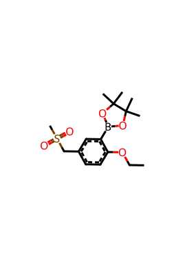 CCOc1ccc(CS(C)(=O)=O)cc1B1OC(C)(C)C(C)(C)O1